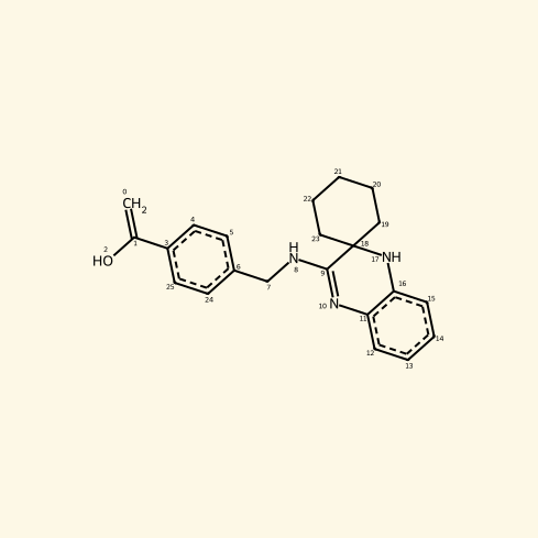 C=C(O)c1ccc(CNC2=Nc3ccccc3NC23CCCCC3)cc1